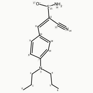 CCCN(CCC)c1ccc(/C=C(\C#N)[S+](N)[O-])cc1